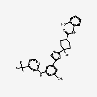 Cc1cc(Nc2nccc(C(F)(F)F)n2)cc(-c2cnc([C@]3(O)CC[C@@H](C(=O)Nc4ccccc4O)CC3)s2)c1